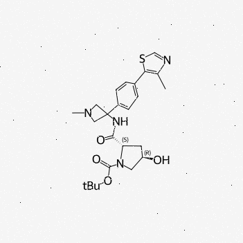 Cc1ncsc1-c1ccc(C2(NC(=O)[C@@H]3C[C@@H](O)CN3C(=O)OC(C)(C)C)CN(C)C2)cc1